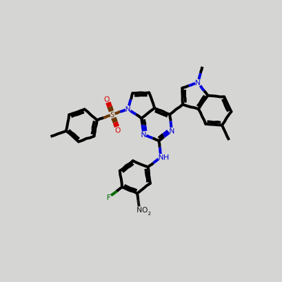 Cc1ccc(S(=O)(=O)n2ccc3c(-c4cn(C)c5ccc(C)cc45)nc(Nc4ccc(F)c([N+](=O)[O-])c4)nc32)cc1